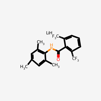 Cc1cc(C)c(PC(=O)c2c(C(F)(F)F)cccc2C(F)(F)F)c(C)c1.[LiH]